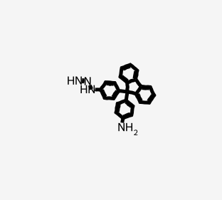 N=NNc1ccc(C2(c3ccc(N)cc3)c3ccccc3-c3ccccc32)cc1